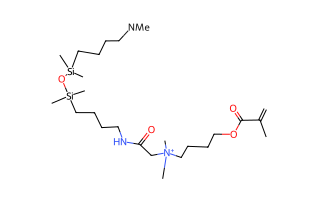 C=C(C)C(=O)OCCCC[N+](C)(C)CC(=O)NCCCC[Si](C)(C)O[Si](C)(C)CCCCNC